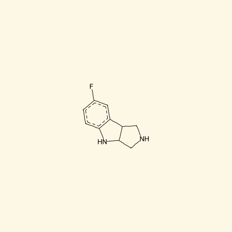 Fc1ccc2c(c1)C1CNCC1N2